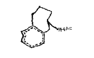 CC(=O)NC1CCCc2ccccc21